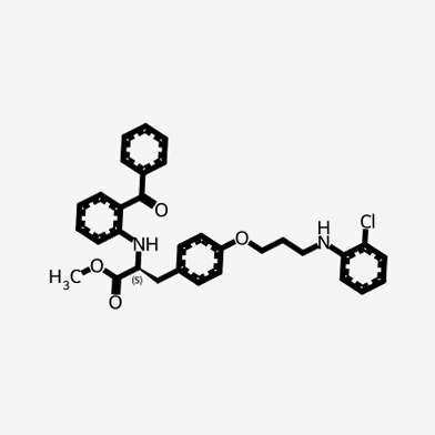 COC(=O)[C@H](Cc1ccc(OCCCNc2ccccc2Cl)cc1)Nc1ccccc1C(=O)c1ccccc1